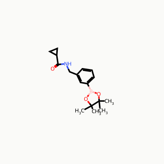 CC1(C)OB(c2cccc(CNC(=O)C3CC3)c2)OC1(C)C